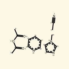 CC#N.CC(=O)OC(C)=O.Cn1ccnc1.c1ccncc1